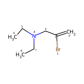 C=C(Br)CN(CC)CC